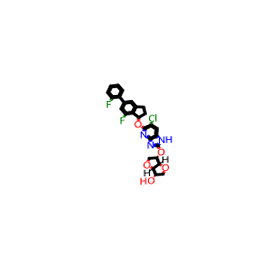 O[C@@H]1CO[C@H]2[C@@H]1OC[C@H]2Oc1nc2nc(OC3CCc4cc(-c5ccccc5F)cc(F)c43)c(Cl)cc2[nH]1